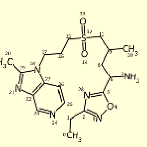 CCc1noc(C(N)CC(C)CS(=O)(=O)CCCn2c(C)nc3cnccc32)n1